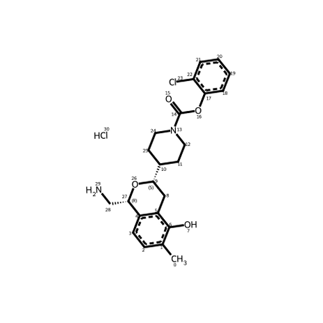 Cc1ccc2c(c1O)C[C@@H](C1CCN(C(=O)Oc3ccccc3Cl)CC1)O[C@H]2CN.Cl